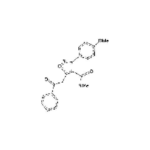 CNC(=O)c1c(-c2ccc(OC)cc2)noc1CC(=O)c1ccccc1